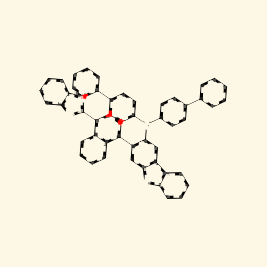 c1ccc(-c2ccc(N(c3ccc(-c4ccccc4)cc3)c3cc4c(cc3-c3ccc(-c5nc6ccccc6o5)c5ccccc35)oc3ccccc34)cc2)cc1